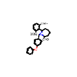 COc1cccc(OC)c1C1CCCCC(C=O)N1Cc1ccc(Oc2ccccc2)cc1